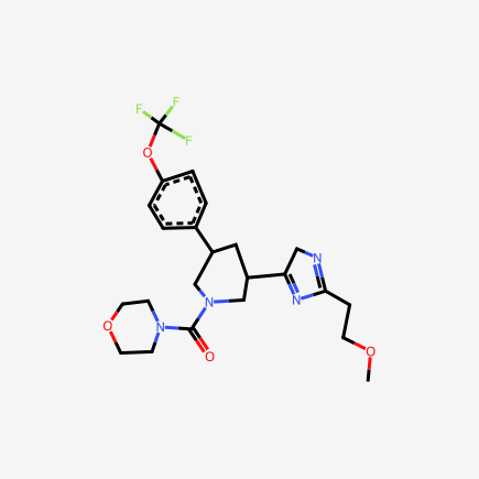 COCCC1=NCC(C2CC(c3ccc(OC(F)(F)F)cc3)CN(C(=O)N3CCOCC3)C2)=N1